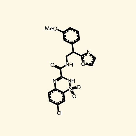 COc1cccc(C(CNC(=O)C2=Nc3ccc(Cl)cc3S(=O)(=O)N2)c2ncco2)c1